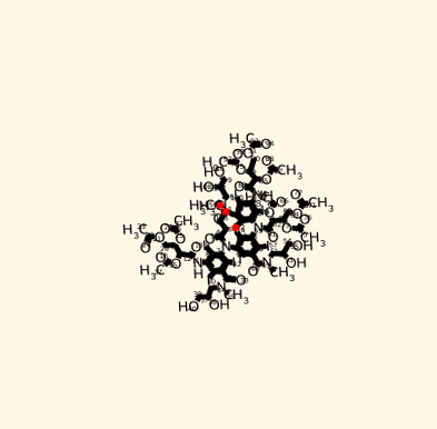 CCCCC(=O)N(c1c(I)c(NC(=O)C(OC(C)=O)C(COC(C)=O)OC(C)=O)c(I)c(C(=O)N(C)CC(O)CO)c1I)c1c(I)c(C(=O)N(C)CC(O)CO)c(I)c(N(C(=O)C(OC(C)=O)C(COC(C)=O)OC(C)=O)c2c(I)c(NC(=O)C(OC(C)=O)C(COC(C)=O)OC(C)=O)c(I)c(C(=O)N(C)CC(O)CO)c2I)c1I